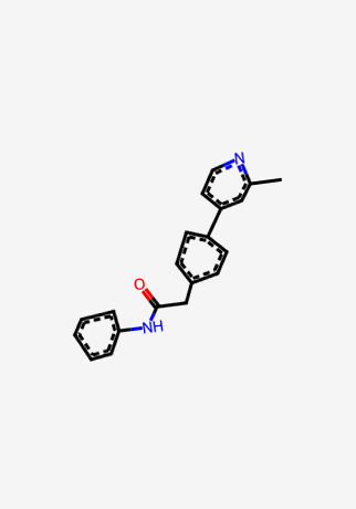 Cc1cc(-c2ccc(CC(=O)Nc3ccccc3)cc2)ccn1